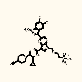 Cn1nc(-c2cnc3c(n2)c(C(=O)N[C@@H](C(=O)N2CCC(C#N)CC2)C2CC2)cn3COCC[Si](C)(C)C)c2cc(Cl)c(Cl)cc21